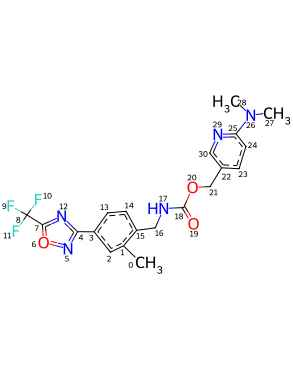 Cc1cc(-c2noc(C(F)(F)F)n2)ccc1CNC(=O)OCc1ccc(N(C)C)nc1